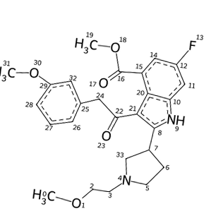 COCCN1CCC(c2[nH]c3cc(F)cc(C(=O)OC)c3c2C(=O)Cc2cccc(OC)c2)C1